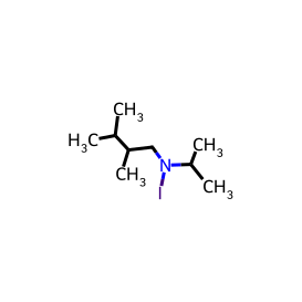 CC(C)C(C)CN(I)C(C)C